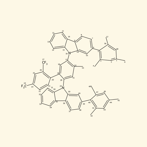 Cc1cc(C)c(-c2ccc3c4ccccc4n(-c4cc(-c5ccc(C(F)(F)F)cc5C(F)(F)F)c(-n5c6ccccc6c6ccc(-c7c(C)cc(C)cc7C)cc65)cc4C)c3c2)c(C)c1